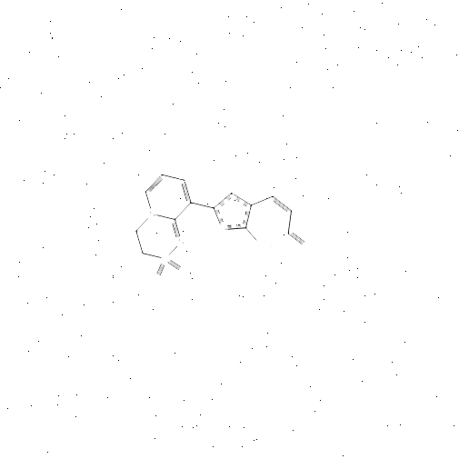 C=C/C=C\c1cc(C2=CC=CN3CCS(=O)(=O)N=C23)oc1C